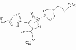 CC(=O)OCCc1ccc(-c2nc(C(=O)OC(C)(C)C)c(-c3ccc(Cl)cc3)[nH]2)cc1